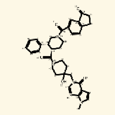 Cn1ccc2c(=O)n(CC3(O)CCN(C(=O)[C@@H]4CCN(C(=O)c5ccc6c(c5)C(=O)CC6)C[C@H]4c4ccccc4)CC3)cnc21